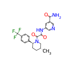 C[C@@H]1CC[C@@H](c2ccc(C(F)(F)F)cc2)N(C(=O)C(=O)Nc2cncc(C(N)=O)c2)C1